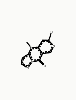 Cn1c2cc(Cl)ncc2c(=O)n2nccc12